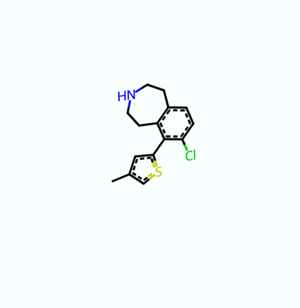 Cc1csc(-c2c(Cl)ccc3c2CCNCC3)c1